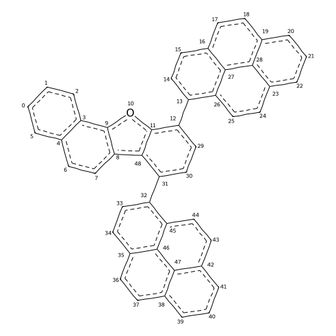 c1ccc2c(c1)ccc1c2oc2c(-c3ccc4ccc5cccc6ccc3c4c56)ccc(-c3ccc4ccc5cccc6ccc3c4c56)c21